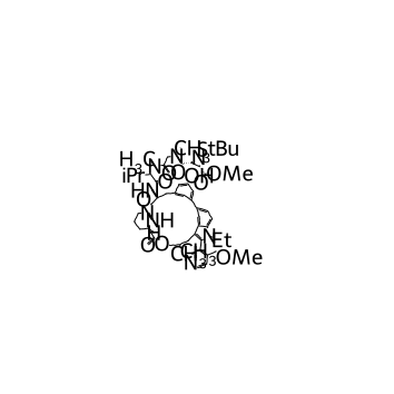 CCn1c(-c2cnccc2COC)c2c3cc(ccc31)-c1cc(O)cc(c1)C[C@H](NC(=O)C(C(C)C)N(C)C(=O)CN(C)C(=O)[C@H]1[C@@H](C(=O)OC)N1SC(C)(C)C)C(=O)N1CCC[C@H](N1)C(=O)OCC(C)(C)C2